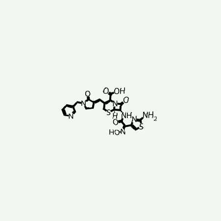 Nc1nc(/C(=N/O)C(=O)N[C@@H]2C(=O)N3C(C(=O)O)=C(C=C4CCN(Cc5cccnc5)C4=O)CS[C@H]23)cs1